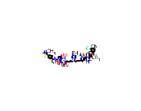 Cc1ncsc1-c1ccc([C@H](C)NC(=O)[C@@H]2C[C@@H](O)CN2C(=O)[C@@H](NC(=O)CCCC[C@@H](CCCc2ccc(C(=O)NC3C(C)(C)C(Oc4ccc(C#N)c(Cl)c4)C3(C)C)nc2)N2CCN(C)CC2)C(C)(C)C)cc1